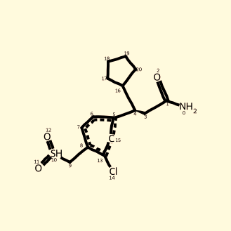 NC(=O)C[C@@H](c1ccc(C[SH](=O)=O)c(Cl)c1)C1CCCC1